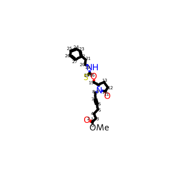 COC(=O)CCCC#CCN1C(=O)CCC1COC(=S)NCCc1ccccc1